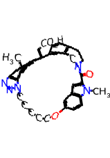 Cc1c2ccc3c1nnn3CCCCCOc1ccc3c(c1)cc(n3C)C(=O)N1CCc3ccc(cc3C1)C2CC(=O)O